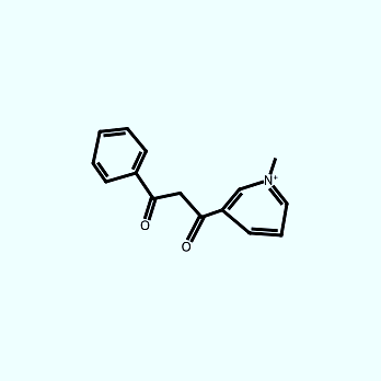 C[n+]1cccc(C(=O)CC(=O)c2ccccc2)c1